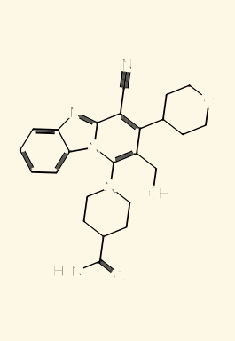 CCc1c(C2CCOCC2)c(C#N)c2nc3ccccc3n2c1N1CCC(C(N)=O)CC1